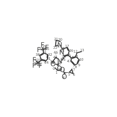 CCOC(=O)[C@@H]1C[C@H]1c1ccc(CC)c(-c2ccc(N3CCC3)nc2CN2C(=O)O[C@H](c3cc(C(F)(F)F)cc(C(F)(F)F)c3)[C@@H]2C)c1